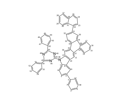 c1ccc(-c2ccc3c(c2)c2cc4c5ccccc5c5cc(-c6cccc7ccccc67)ccc5c4cc2n3-c2nc(-c3ccccc3)nc(-c3ccccc3)n2)cc1